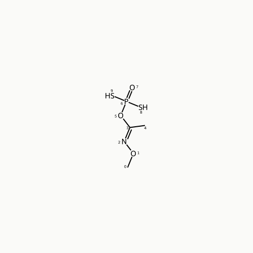 CO/N=C(\C)OP(=O)(S)S